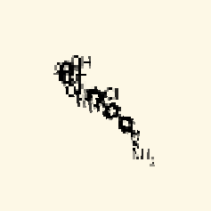 NCCOc1ccc(-c2ccc(-c3nc4nc(O[C@H]5C[C@H]6OC[C@@H](O)[C@H]6O5)[nH]c4cc3Cl)cc2)cc1